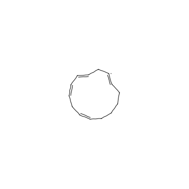 [C]1=C/CCCC/C=C\C/C=C\C=C\C/1